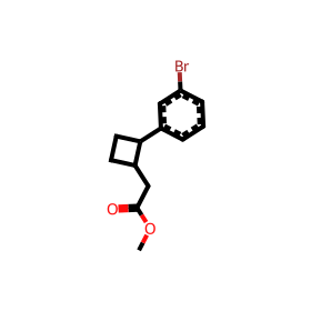 COC(=O)CC1CCC1c1cccc(Br)c1